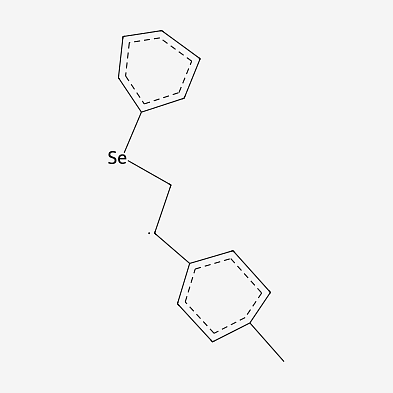 Cc1ccc([CH]C[Se]c2ccccc2)cc1